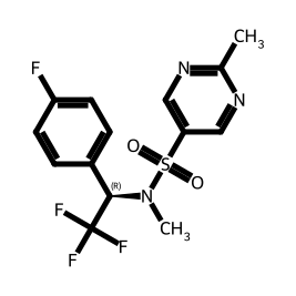 Cc1ncc(S(=O)(=O)N(C)[C@H](c2ccc(F)cc2)C(F)(F)F)cn1